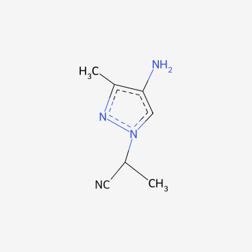 Cc1nn(C(C)C#N)cc1N